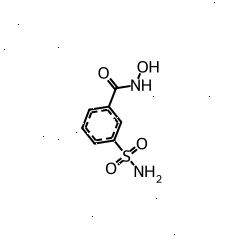 NS(=O)(=O)c1cccc(C(=O)NO)c1